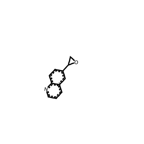 c1cnc2ccc(C3CO3)cc2c1